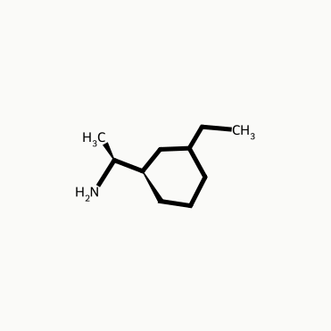 CCC1CCC[C@@H]([C@H](C)N)C1